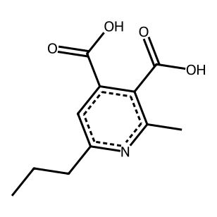 CCCc1cc(C(=O)O)c(C(=O)O)c(C)n1